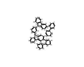 c1ccc(-c2ccccc2-c2ccc3c(c2)c2cnccc2n3-c2cccc(-n3c4ccncc4c4cc(-c5ccccc5-c5ccccn5)ccc43)c2)nc1